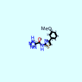 COc1cccc(-c2csc(NC(=O)c3nnn[nH]3)n2)c1